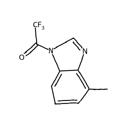 Cc1cccc2c1ncn2C(=O)C(F)(F)F